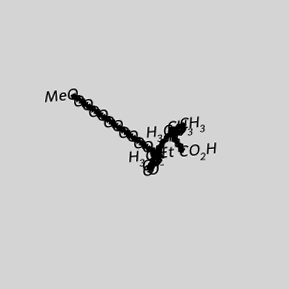 CCN1C(=CC=CC=CC2=[N+](CCCCCC(=O)O)c3ccc(C)cc3C2(C)C)C(C)(CCOCCOCCOCCOCCOCCOCCOCCOCCOCCOCCOC)c2cc(S(=O)(=O)[O-])ccc21